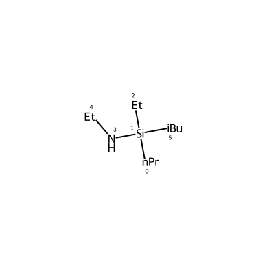 CCC[Si](CC)(NCC)C(C)CC